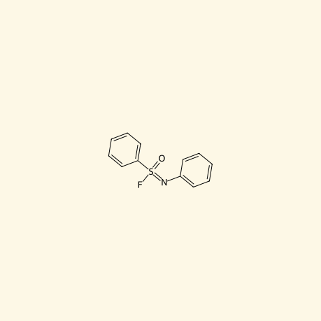 O=S(F)(=Nc1ccccc1)c1ccccc1